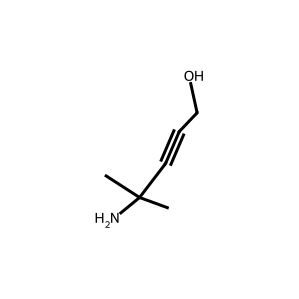 CC(C)(N)C#CCO